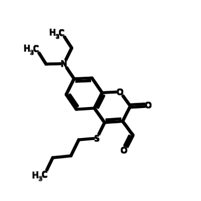 CCCCSc1c(C=O)c(=O)oc2cc(N(CC)CC)ccc12